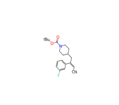 CC(C)(C)OC(=O)N1CCC(CC(=CC#N)c2cccc(F)c2)CC1